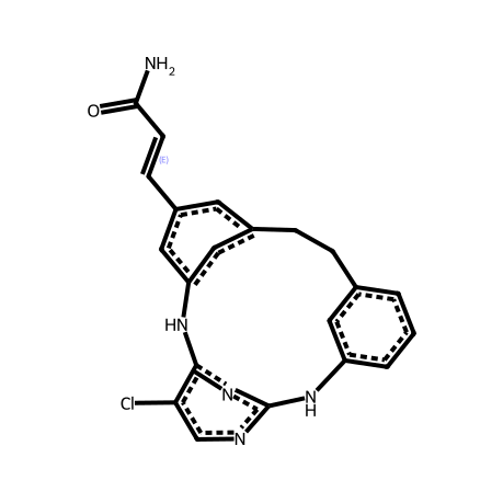 NC(=O)/C=C/c1cc2cc(c1)Nc1nc(ncc1Cl)Nc1cccc(c1)CC2